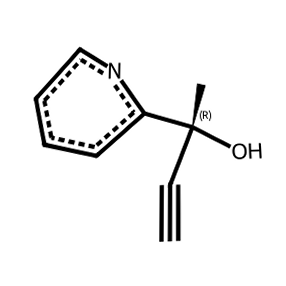 C#C[C@@](C)(O)c1ccccn1